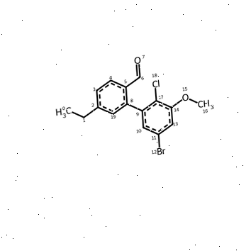 CCc1ccc(C=O)c(-c2cc(Br)cc(OC)c2Cl)c1